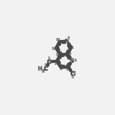 COc1cc(Cl)nc2cnccc12